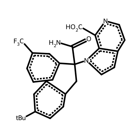 CC(C)(C)c1ccc(CC(C(N)=O)(c2cccc(C(F)(F)F)c2)n2ccc3ccnc(C(=O)O)c32)cc1